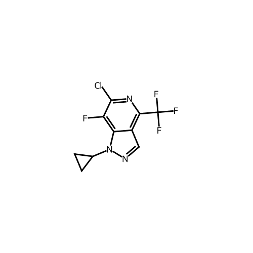 Fc1c(Cl)nc(C(F)(F)F)c2cnn(C3CC3)c12